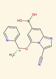 C[C@@H](Oc1cc(B(O)O)cc2ncc(C#N)n12)c1ccccn1